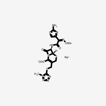 CO/N=C(\C(=O)N[C@@H]1C(=O)N2C(C(=O)[O-])=C(CSc3nnnn3C)CS[C@@H]12)c1csc(N)n1.[Na+]